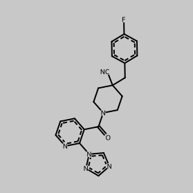 N#CC1(Cc2ccc(F)cc2)CCN(C(=O)c2cccnc2-n2cncn2)CC1